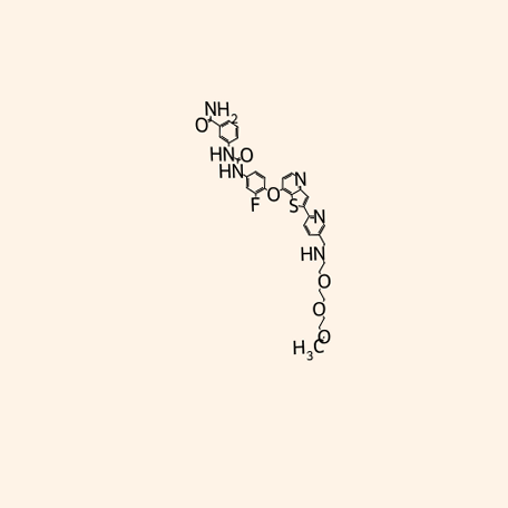 COCCOCCOCCNCc1ccc(-c2cc3nccc(Oc4ccc(NC(=O)Nc5cccc(C(N)=O)c5)cc4F)c3s2)nc1